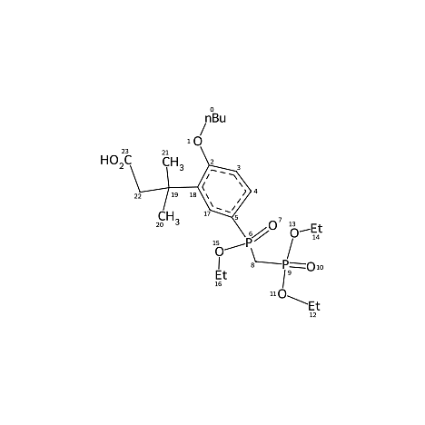 CCCCOc1ccc(P(=O)(CP(=O)(OCC)OCC)OCC)cc1C(C)(C)CC(=O)O